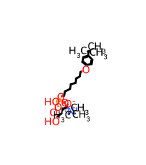 CC(C)(C)c1ccc(OCCCCCCCCOP(=O)(O)O[C@H](CC(=O)O)C([O-])[N+](C)(C)C)cc1